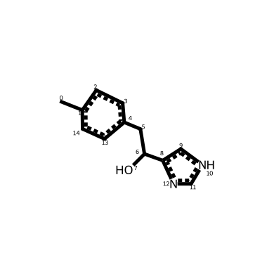 Cc1ccc(CC(O)c2c[nH]cn2)cc1